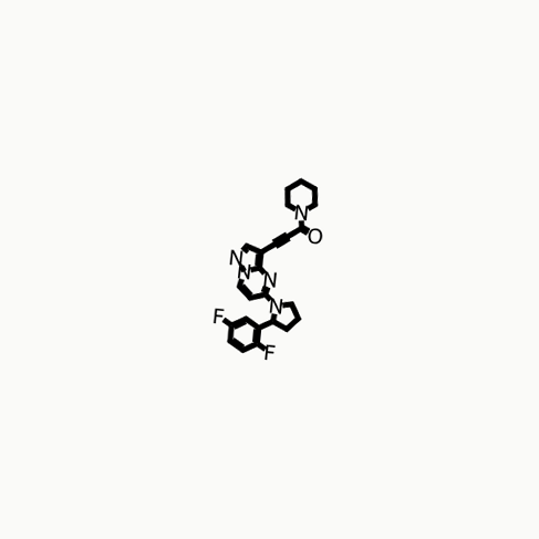 O=C(C#Cc1cnn2ccc(N3CCCC3c3cc(F)ccc3F)nc12)N1CCCCC1